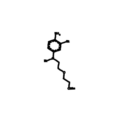 CCc1cc(N(CC)CCOCCOC)ccc1N